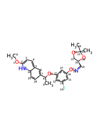 COC1=CC=C2C=C(C(C)Oc3cc(F)cc(O/N=C\[C@H]4COC(C)(C)O4)c3)C=CC2N1